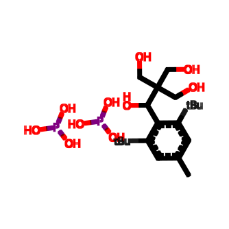 Cc1cc(C(C)(C)C)c(C(O)C(CO)(CO)CO)c(C(C)(C)C)c1.OP(O)O.OP(O)O